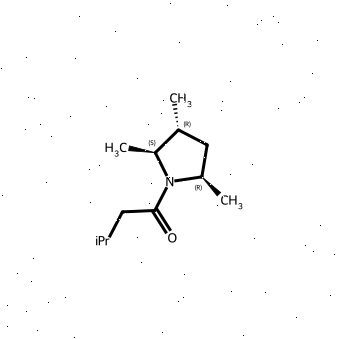 CC(C)CC(=O)N1[C@H](C)C[C@@H](C)[C@@H]1C